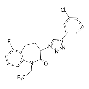 O=C1C(n2cc(-c3cccc(Cl)c3)nn2)CCc2c(F)cccc2N1CC(F)(F)F